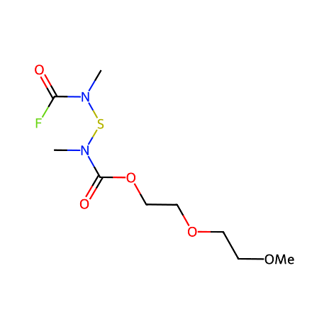 COCCOCCOC(=O)N(C)SN(C)C(=O)F